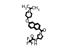 CC(C)N1CCC(Oc2ccc3cc(C(=O)N4CCC(NC(=O)C(F)(F)F)C4)ccc3c2)CC1